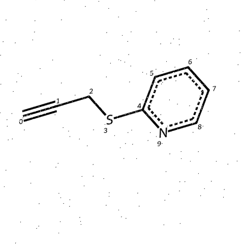 C#CCSc1ccccn1